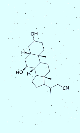 CC(CC#N)C1CCC2[C@H]3C(CC[C@]12C)[C@@]1(C)CCC(O)C[C@H]1C[C@@H]3O